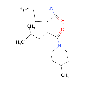 CCCC(C(N)=O)C(CC(C)C)C(=O)N1CCC(C)CC1